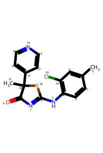 Cc1ccc(NC2=NC(=O)C(C)(c3ccncc3)S2)c(Cl)c1